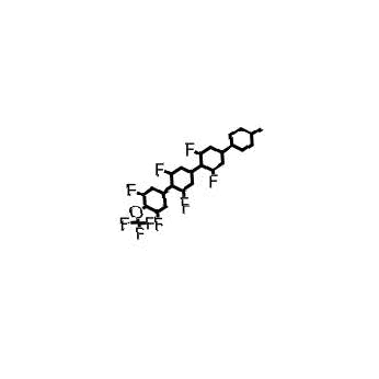 CC1CCC(C2CC(F)C(C3CC(F)C(C4CC(F)C(OC(F)(F)F)C(F)C4)C(F)C3)C(F)C2)CC1